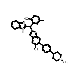 Cc1cc2cn(C(c3nc4ccccc4[nH]3)c3cc(F)ccc3O)nc2cc1-c1ccc(C2CCN(C)CC2)cc1